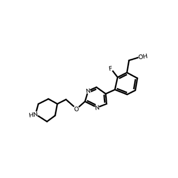 OCc1cccc(-c2cnc(OCC3CCNCC3)nc2)c1F